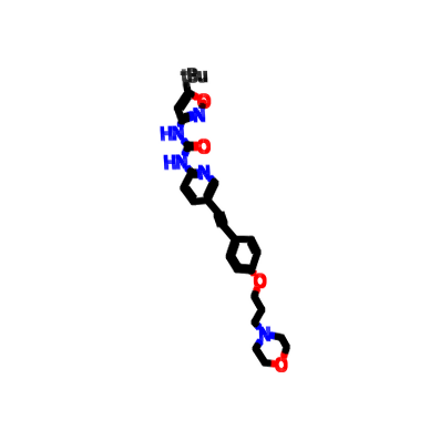 CC(C)(C)c1cc(NC(=O)Nc2ccc(C#CC3=C=C=C(OCCCN4CCOCC4)C=C3)cn2)no1